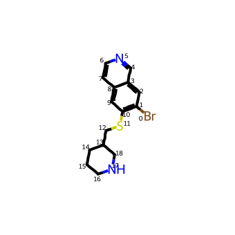 Brc1cc2cnccc2cc1SCC1CCCNC1